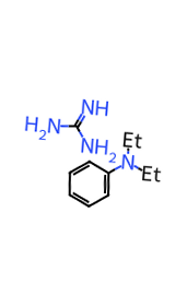 CCN(CC)c1ccccc1.N=C(N)N